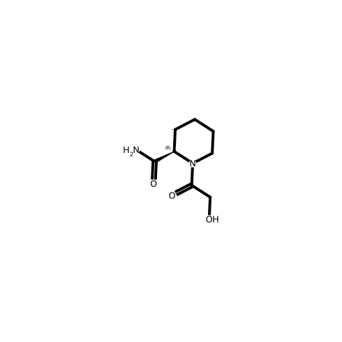 NC(=O)[C@H]1[CH]CCCN1C(=O)CO